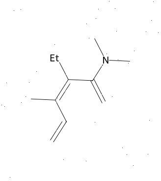 C=C/C(C)=C(/CC)C(=C)N(C)C